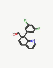 O=Cc1ccc2cccnc2c1-c1cc(F)cc(F)c1